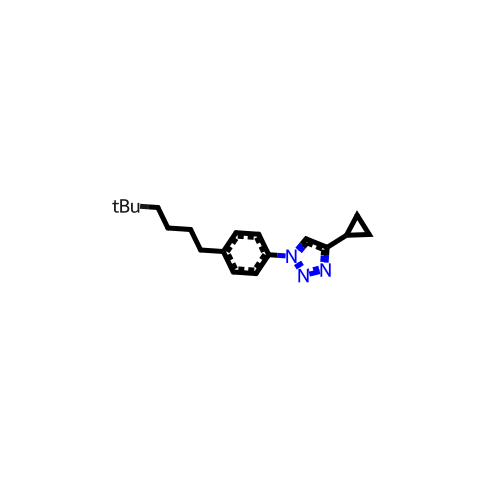 CC(C)(C)CCCCc1ccc(-n2cc(C3CC3)nn2)cc1